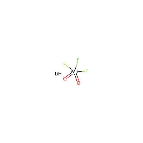 [LiH].[O]=[Mn](=[O])([F])([F])[F]